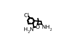 CC1(c2cc(Cl)ccc2C(N)=O)CC(N)C1